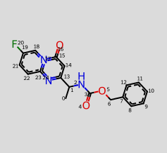 CC(NC(=O)OCc1ccccc1)c1cc(=O)n2cc(F)ccc2n1